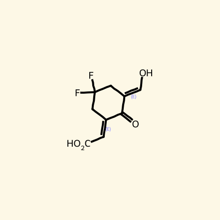 O=C(O)/C=C1\CC(F)(F)C/C(=C\O)C1=O